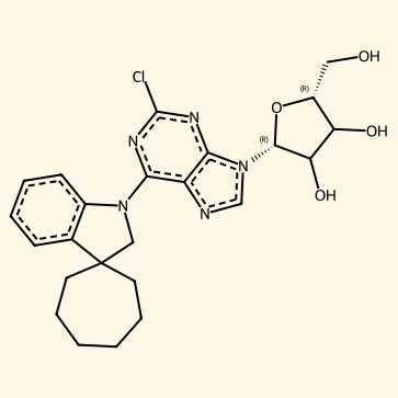 OC[C@H]1O[C@@H](n2cnc3c(N4CC5(CCCCCC5)c5ccccc54)nc(Cl)nc32)C(O)C1O